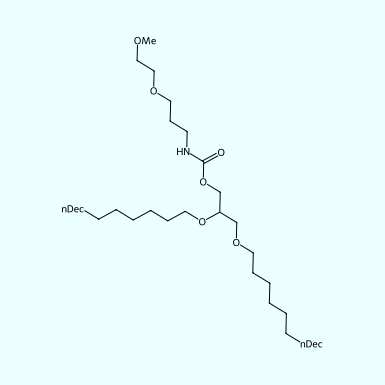 CCCCCCCCCCCCCCCCOCC(COC(=O)NCCCOCCOC)OCCCCCCCCCCCCCCCC